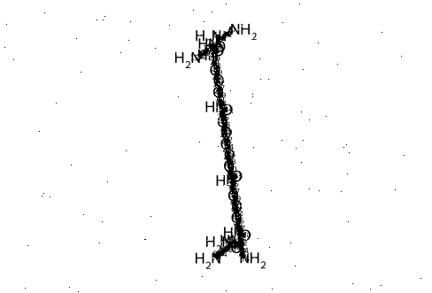 NCCCCC(N)C(=O)N[C@@H](CCCCN)C(=O)NCCCOCCOCCOCCCNC(=O)CCOCCOCCOCCOCCOCCC(=O)NCCCOCCOCCOCCCNC(=O)C(CCCCN)NC(=O)[C@@H](N)CCCCN